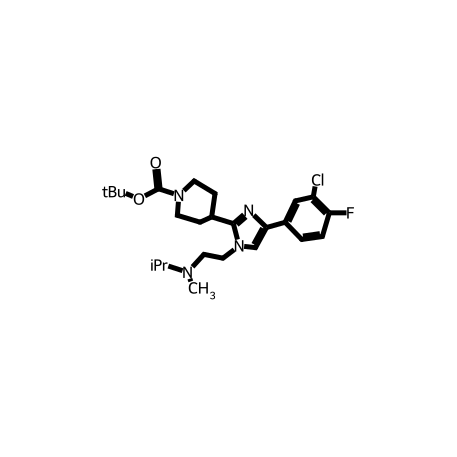 CC(C)N(C)CCn1cc(-c2ccc(F)c(Cl)c2)nc1C1CCN(C(=O)OC(C)(C)C)CC1